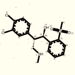 CNC[C@H](c1ccc(Cl)c(Cl)c1)[C@@H](O)c1ccccc1S(C)(=O)=O